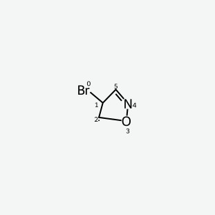 BrC1[CH]ON=C1